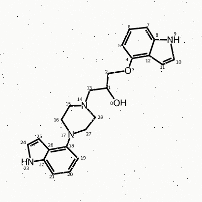 OC(COc1cccc2[nH]ccc12)CN1CCN(c2cccc3[nH]ccc23)CC1